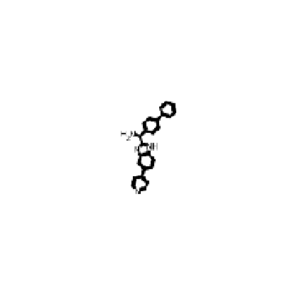 NC(c1ccc(-c2ccccc2)cc1)c1nc2cc(-c3ccncc3)ccc2[nH]1